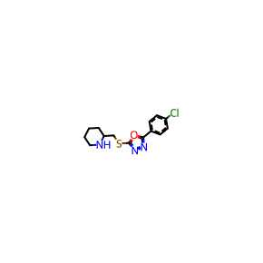 Clc1ccc(-c2nnc(SCC3CCCCN3)o2)cc1